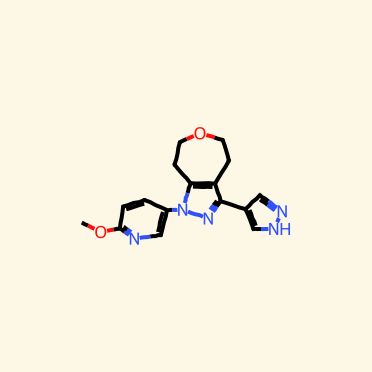 COc1ccc(-n2nc(-c3cn[nH]c3)c3c2CCOCC3)cn1